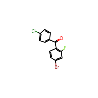 O=C(c1ccc(Cl)cc1)c1ccc(Br)cc1F